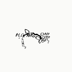 C=C(C)C(=O)OCCCC(OC)C(OC)(OC)O[SiH3]